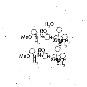 COc1cccc(C(=O)N[C@H]2CCN(C(C)CC(C(=O)N(C)C)(c3ccccc3)c3ccccc3)C[C@@H]2O)c1N.COc1cccc(C(=O)N[C@H]2CCN(C(C)CC(C(=O)N(C)C)(c3ccccc3)c3ccccc3)C[C@@H]2O)c1N.O